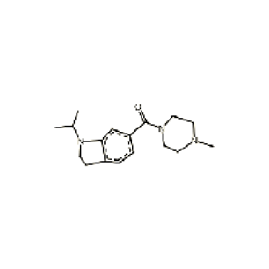 CC(C)N1CCc2ccc(C(=O)N3CCN(C)CC3)cc21